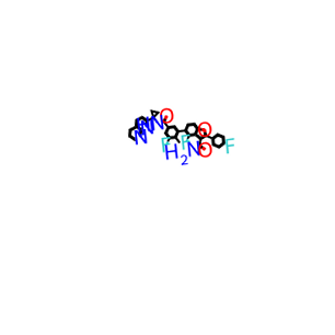 Cc1c(F)cc(C(=O)NC2(c3ccc4cccnc4n3)CC2)cc1-c1ccc2oc(-c3ccc(F)cc3)c(C(N)=O)c2c1F